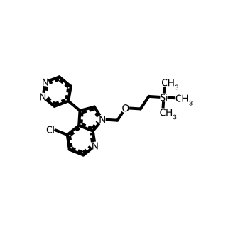 C[Si](C)(C)CCOCn1cc(-c2ccnnc2)c2c(Cl)ccnc21